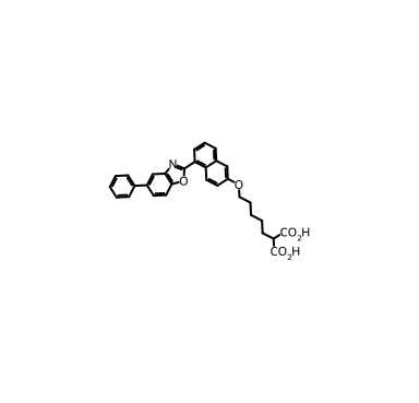 O=C(O)C(CCCCCOc1ccc2c(-c3nc4cc(-c5ccccc5)ccc4o3)cccc2c1)C(=O)O